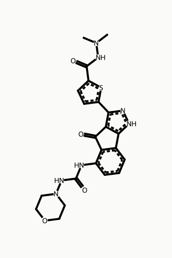 CN(C)NC(=O)c1ccc(-c2n[nH]c3c2C(=O)c2c(NC(=O)NN4CCOCC4)cccc2-3)s1